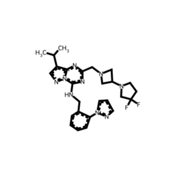 CC(C)c1cnn2c(NCc3ccccc3-n3cccn3)nc(CN3CC(N4CCC(F)(F)C4)C3)nc12